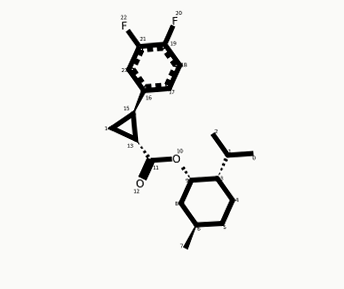 CC(C)[C@@H]1CC[C@@H](C)C[C@@H]1OC(=O)[C@@H]1C[C@H]1c1ccc(F)c(F)c1